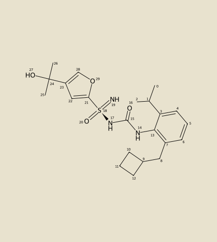 CC(C)c1cccc(CC2CCC2)c1NC(=O)N[S@@](=N)(=O)c1cc(C(C)(C)O)co1